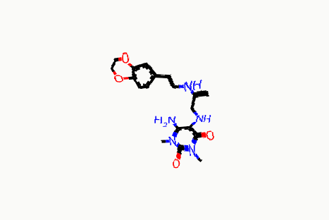 C=C(CNc1c(N)n(C)c(=O)n(C)c1=O)NCCc1ccc2c(c1)OCCO2